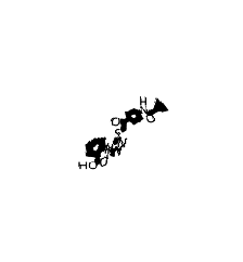 O=C(CSc1nnnn1-c1ccccc1C(=O)O)c1ccc(NC(=O)C2CC2)cc1